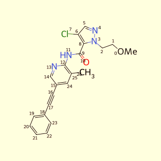 COCCn1ncc(Cl)c1C(=O)Nc1ncc(C#Cc2ccccc2)cc1C